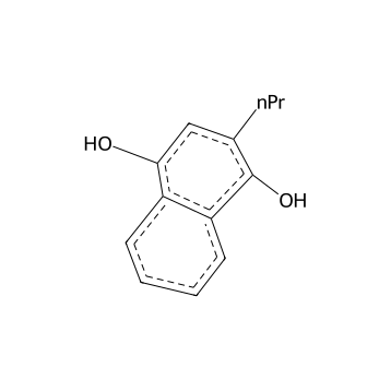 CCCc1cc(O)c2ccccc2c1O